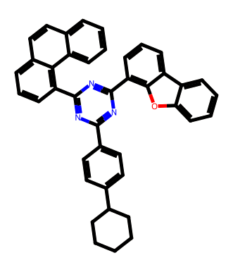 c1ccc2c(c1)ccc1cccc(-c3nc(-c4ccc(C5CCCCC5)cc4)nc(-c4cccc5c4oc4ccccc45)n3)c12